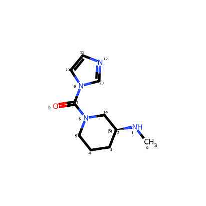 CN[C@H]1CCCN(C(=O)n2ccnc2)C1